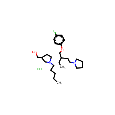 CCC(CCN1CCCC1)COc1ccc(F)cc1.CCCCCN1CCC(CO)C1.Cl